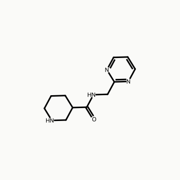 O=C(NCc1ncccn1)C1CCCNC1